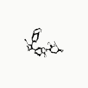 Cn1cnc(-c2ccc3c(c2)CN(C2CCC(=O)NC2=O)C3=O)c1-c1ccc2sccc2c1